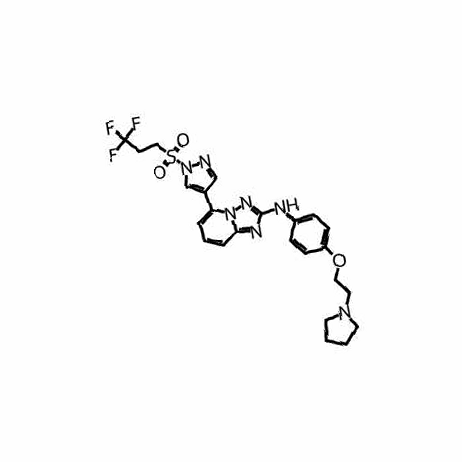 O=S(=O)(CCC(F)(F)F)n1cc(-c2cccc3nc(Nc4ccc(OCCN5CCCC5)cc4)nn23)cn1